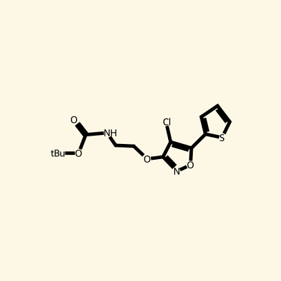 CC(C)(C)OC(=O)NCCOc1noc(-c2cccs2)c1Cl